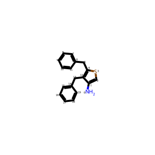 Nc1csc(Cc2ccccc2)c1Cc1ccccc1